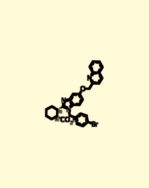 O=C(O)[C@@H]1CCCC[C@@H]1c1nc2cc(OCc3ccc4ccccc4n3)ccc2n1Cc1ccc(Br)cc1